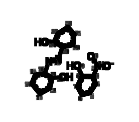 O=[N+]([O-])c1ccccc1O.Oc1ccccc1N=Nc1ccccc1O